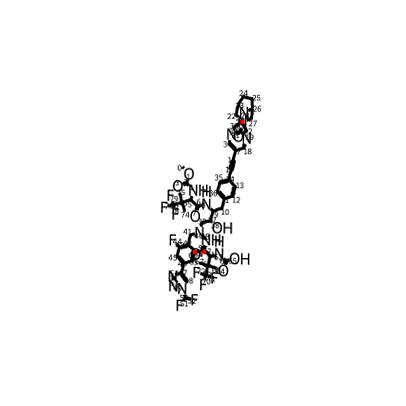 COC(=O)NC(C(=O)NC(Cc1ccc(C#Cc2cnc(N3CC4CCC(C3)N4C3COC3)nc2)cc1)C(O)CN(Cc1c(F)cc(-c2cn(C(F)F)nn2)cc1F)NC(=O)C(NC(=O)O)C(C)(C)C(F)(F)F)C(C)(C)C(F)(F)F